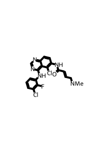 CNC/C=C/C(=O)Nc1ccc2ncnc(Nc3cccc(Cl)c3F)c2c1Cl